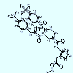 CCOC(=O)Cc1nnnn1CC(=O)N1CCN(S(=O)(=O)c2ccc(C(F)(F)F)cc2)[C@@H](C(=O)NCc2ccc(C(C)C)cc2)C1